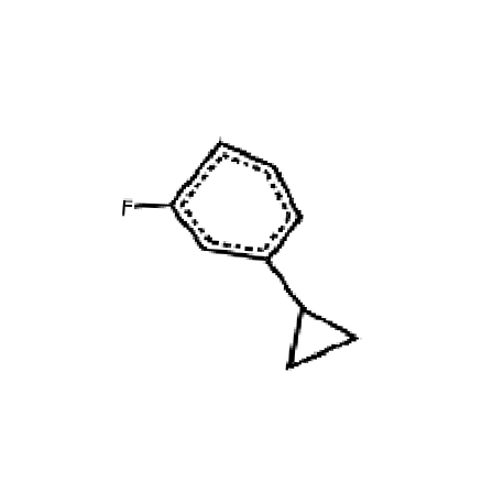 Fc1[c]ccc(C2CC2)c1